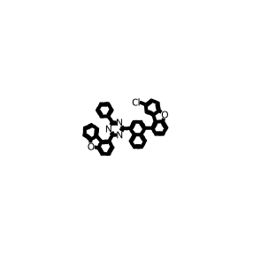 Clc1ccc2oc3cccc(-c4ccc(-c5nc(-c6ccccc6)nc(-c6cccc7oc8ccccc8c67)n5)c5ccccc45)c3c2c1